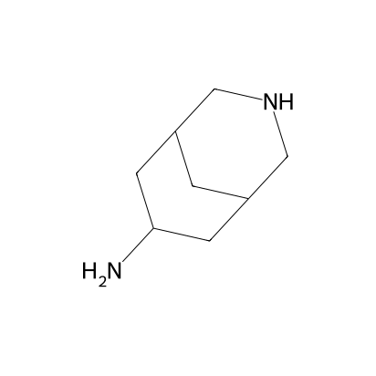 NC1CC2CNCC(C1)C2